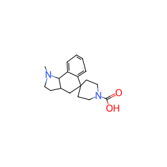 CN1CCC2CC3(CCN(C(=O)O)CC3)c3ccccc3C21